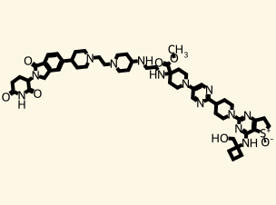 COC(=O)C1(NCCNC2CCN(CCN3CCC(c4ccc5c(c4)CN(C4CCC(=O)NC4=O)C5=O)CC3)CC2)CCN(c2cnc(C3CCN(c4nc5c(c(NC6(CO)CCC6)n4)[S@+]([O-])CC5)CC3)nc2)CC1